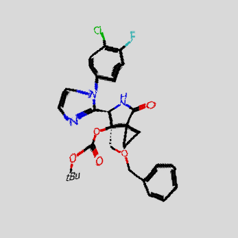 CC(C)(C)OC(=O)O[C@@]1(COCc2ccccc2)[C@@H](c2nccn2-c2ccc(F)c(Cl)c2)NC(=O)C12CC2